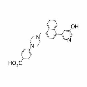 O=C(O)c1ccc(N2CCN(Cc3ccc(-c4cncc(O)c4)c4ccccc34)CC2)cc1